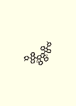 Cc1cccc(-c2c3ccccc3c(-c3cc4cc(-c5c6ccccc6c(-c6cccc(C)c6)c6ccccc56)c5oc6ccccc6c5c4c4c3oc3ccccc34)c3ccccc23)c1